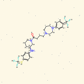 O=C(CCCN1CCCN(c2ccc(C(F)(F)F)cc2)CC1)N1CCC[C@H](Nc2ccc(SC(F)(F)F)cc2)C1